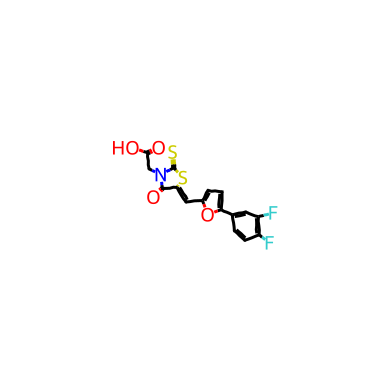 O=C(O)CN1C(=O)C(=Cc2ccc(-c3ccc(F)c(F)c3)o2)SC1=S